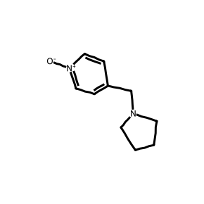 [O-][n+]1ccc(CN2CCCC2)cc1